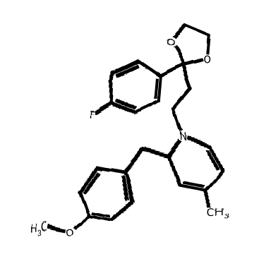 COc1ccc(CC2C=C(C)C=CN2CCC2(c3ccc(F)cc3)OCCO2)cc1